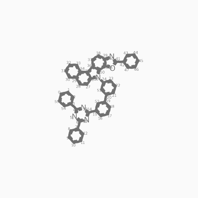 c1ccc(-c2nc(-c3ccccc3)nc(-c3cccc(-c4cccc(-n5c6ccc7ccccc7c6c6ccc7nc(-c8ccccc8)oc7c65)c4)c3)n2)cc1